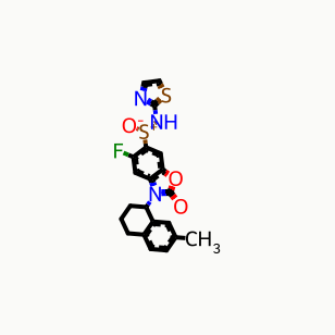 Cc1ccc2c(c1)C(n1c(=O)oc3cc([S+]([O-])Nc4nccs4)c(F)cc31)CCC2